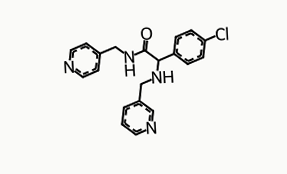 O=C(NCc1ccncc1)C(NCc1cccnc1)c1ccc(Cl)cc1